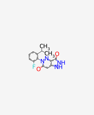 CC(C)c1cccc(F)c1-n1nc2c(=O)[nH][nH]c2cc1=O